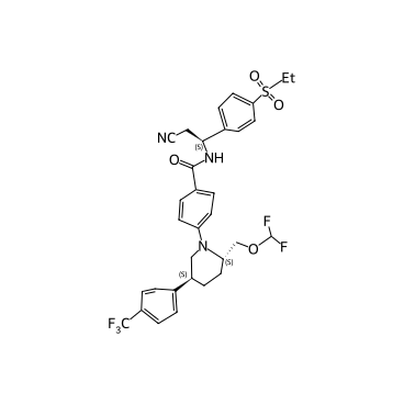 CCS(=O)(=O)c1ccc([C@H](CC#N)NC(=O)c2ccc(N3C[C@H](c4ccc(C(F)(F)F)cc4)CC[C@H]3COC(F)F)cc2)cc1